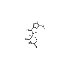 COc1scc2c1CN([C@]1(C)CCC(=O)NC1=O)C2=O